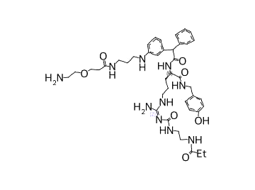 CCC(=O)NCCNC(=O)/N=C(/N)NCCC[C@@H](NC(=O)C(c1ccccc1)c1cccc(NCCCNC(=O)CCOCCN)c1)C(=O)NCc1ccc(O)cc1